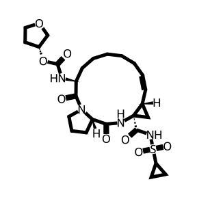 O=C(N[C@H]1CCCCC/C=C\[C@@H]2C[C@@]2(C(=O)NS(=O)(=O)C2CC2)NC(=O)[C@@H]2CCCN2C1=O)O[C@@H]1CCOC1